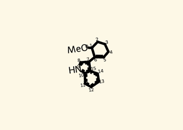 COC1CCCC=C1c1c[nH]c2ccccc12